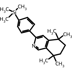 CC1(C)CCC(C)(C)c2cc(-c3ccc([Si](C)(C)C)cc3)ncc21